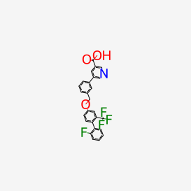 O=C(O)c1cncc(-c2cccc(COc3ccc(-c4ccccc4F)c(C(F)(F)F)c3)c2)c1